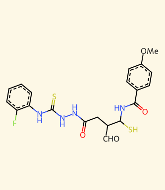 COc1ccc(C(=O)NC(S)C(C=O)CC(=O)NNC(=S)Nc2ccccc2F)cc1